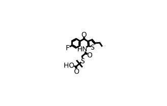 CCc1cc(C(=O)c2ccc(F)cc2)c(NC(=O)CSC(C)(C)C(=O)O)s1